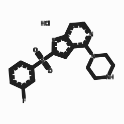 Cl.O=S(=O)(c1cccc(F)c1)c1cc2c(N3CCNCC3)nccc2s1